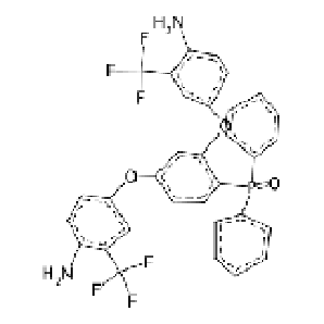 Nc1ccc(Oc2ccc(P(=O)(c3ccccc3)c3ccccc3)c(Oc3ccc(N)c(C(F)(F)F)c3)c2)cc1C(F)(F)F